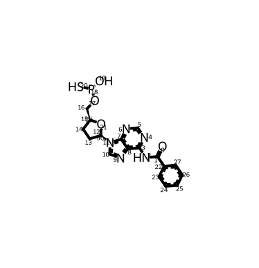 O=C(Nc1ncnc2c1ncn2[C@H]1CC[C@@H](COP(O)S)O1)c1ccccc1